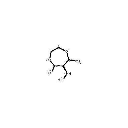 CNC1C(C)OCCOC1C